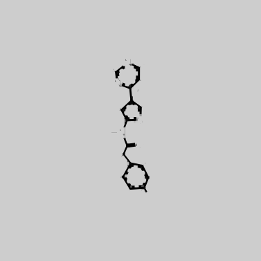 O=C(Cc1ccc(F)cc1)Nc1cc(-c2ccncn2)cs1